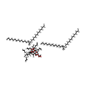 C=CCOC(CC)(OCC=C)C(C)[O][Ti+2]([O]C(C)C(CC)(OCC=C)OCC=C)([O]C(C)C(CC)(OCC=C)OCC=C)[O]C(C)C(CC)(OCC=C)OCC=C.CCCCCCCCCCCCCOP([O-])OCCCCCCCCCCCCC.CCCCCCCCCCCCCOP([O-])OCCCCCCCCCCCCC